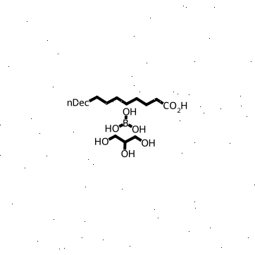 CCCCCCCCCCCCCCCCCC(=O)O.OB(O)O.OCC(O)CO